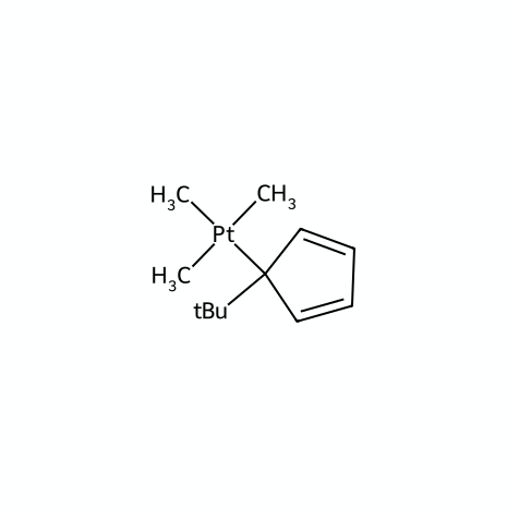 CC(C)(C)[C]1([Pt]([CH3])([CH3])[CH3])C=CC=C1